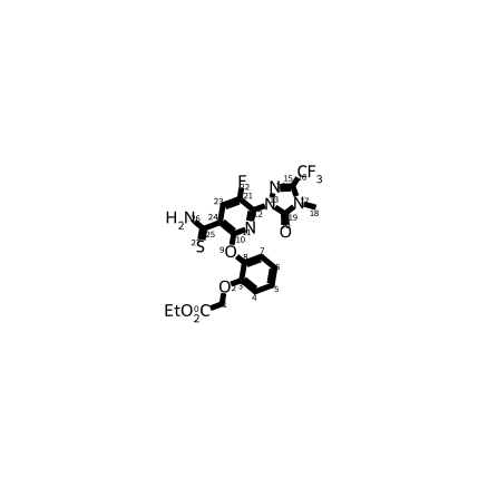 CCOC(=O)COc1ccccc1Oc1nc(-n2nc(C(F)(F)F)n(C)c2=O)c(F)cc1C(N)=S